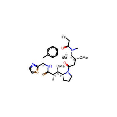 CC[C@H](C)[C@@H]([C@@H](CC(=O)N1CCC[C@H]1[C@H](OC)[C@@H](C)C(=S)N[C@@H](Cc1ccccc1)c1nccs1)OC)N(C)C(=O)CC(C)C